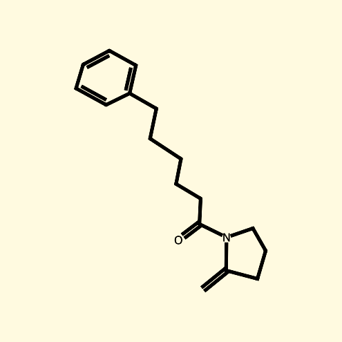 C=C1CCCN1C(=O)CCCCCc1ccccc1